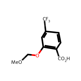 COCOc1cc(C(F)(F)F)ccc1C(=O)O